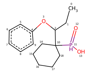 CCC(Oc1ccccc1)C1([PH](=O)O)CCCCC1